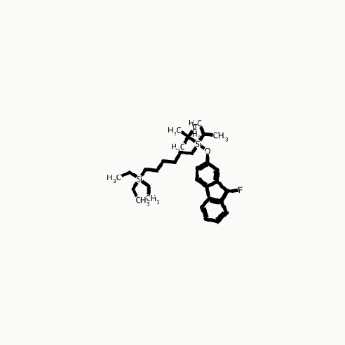 CC[Si](CC)(CC)CCCCCC[Si](Oc1ccc2c(c1)C(F)c1[c]cccc1-2)(C(C)C)C(C)(C)C